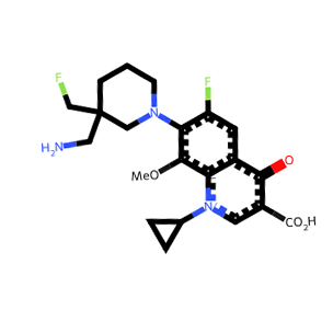 COc1c(N2CCCC(CN)(CF)C2)c(F)cc2c(=O)c(C(=O)O)cn(C3CC3)c12